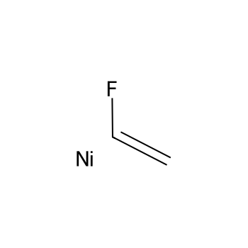 C=CF.[Ni]